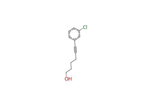 OCCCCC#Cc1cccc(Cl)c1